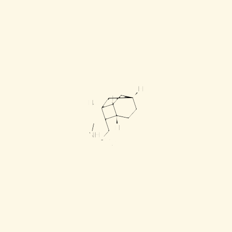 NC[C@@]1(CC(=O)O)[C@H]2CC[C@H]3C[C@@H]2[C@@H]1C3